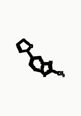 Cc1nc2cc(C3C=CCO3)ccc2s1